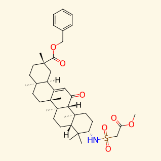 COC(=O)CS(=O)(=O)N[C@H]1CC[C@]2(C)[C@H]3C(=O)C=C4[C@@H]5C[C@@](C)(C(=O)OCc6ccccc6)CC[C@]5(C)CC[C@@]4(C)[C@]3(C)CC[C@H]2C1(C)C